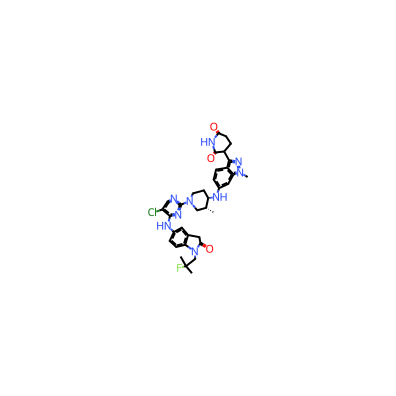 C[C@@H]1CN(c2ncc(Cl)c(Nc3ccc4c(c3)CC(=O)N4CC(C)(C)F)n2)CC[C@H]1Nc1ccc2c(C3CCC(=O)NC3=O)nn(C)c2c1